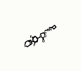 O=C1O[C@@H](CNCC2CCC2)CN1c1cc(F)c(N2C3CCC2CSC3)c(F)c1